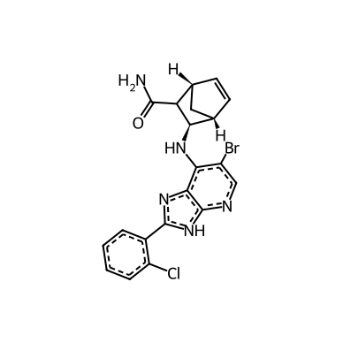 NC(=O)C1[C@@H]2C=C[C@@H](C2)[C@H]1Nc1c(Br)cnc2[nH]c(-c3ccccc3Cl)nc12